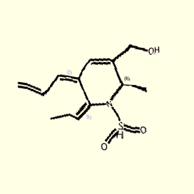 C=C/C=C1/C=C(CO)[C@@H](C)N([SH](=O)=O)/C1=C/C